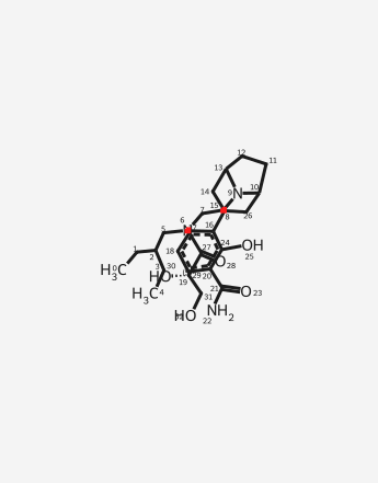 CCC(CC)CN(CCN1C2CCC1CC(c1cccc(C(N)=O)c1O)C2)C(=O)[C@@H](O)CO